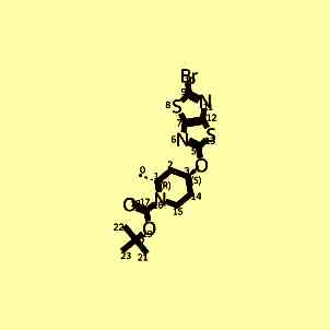 C[C@@H]1C[C@@H](Oc2nc3sc(Br)nc3s2)CCN1C(=O)OC(C)(C)C